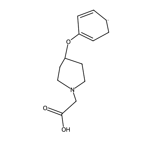 O=C(O)CN1CCC(OC2=CC[CH]C=C2)CC1